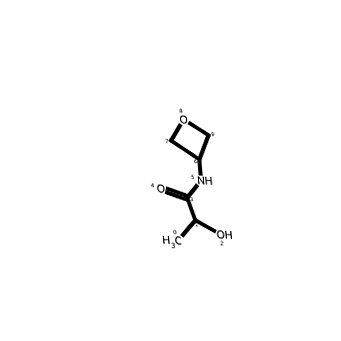 CC(O)C(=O)NC1COC1